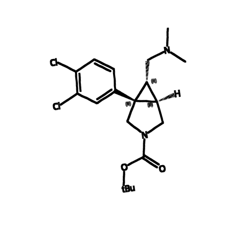 CN(C)C[C@@H]1[C@H]2CN(C(=O)OC(C)(C)C)C[C@]12c1ccc(Cl)c(Cl)c1